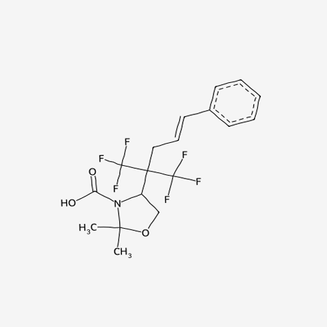 CC1(C)OCC(C(C/C=C/c2ccccc2)(C(F)(F)F)C(F)(F)F)N1C(=O)O